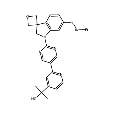 CCNSc1ccc2c(c1)N(c1ncc(-c3cc(C(C)(C)O)ccn3)cn1)CC21COC1